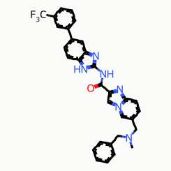 CN(Cc1ccccc1)Cc1ccc2nc(C(=O)Nc3nc4cc(-c5cccc(C(F)(F)F)c5)ccc4[nH]3)cn2c1